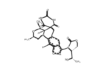 C[C@@H]1CN2c3c(cc4c(N5C(=O)OC[C@@H]5[C@H](C)O)noc4c3F)CC3(C(=O)NC(=O)NC3=O)[C@H]2[C@H](C)O1